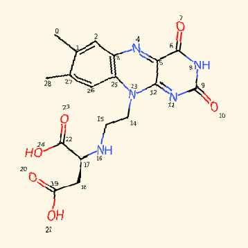 Cc1cc2nc3c(=O)[nH]c(=O)nc-3n(CCN[C@@H](CC(=O)O)C(=O)O)c2cc1C